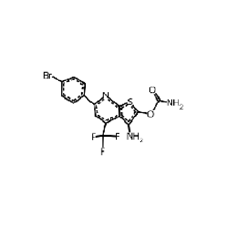 NC(=O)Oc1sc2nc(-c3ccc(Br)cc3)cc(C(F)(F)F)c2c1N